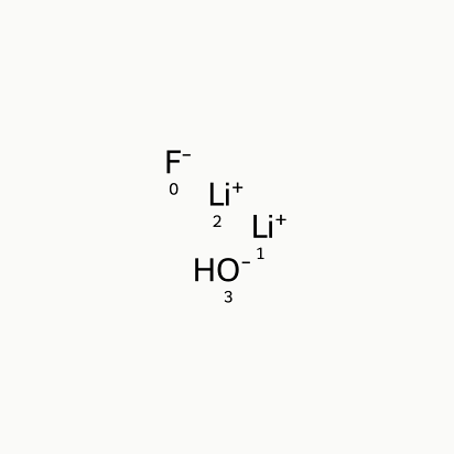 [F-].[Li+].[Li+].[OH-]